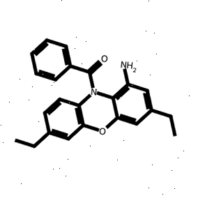 CCc1ccc2c(c1)Oc1cc(CC)cc(N)c1N2C(=O)c1ccccc1